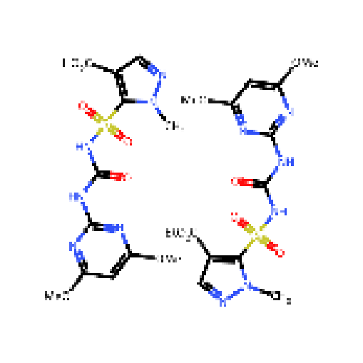 CCOC(=O)c1cnn(C)c1S(=O)(=O)NC(=O)Nc1nc(OC)cc(OC)n1.COc1cc(OC)nc(NC(=O)NS(=O)(=O)c2c(C(=O)O)cnn2C)n1